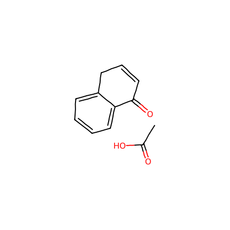 CC(=O)O.O=C1C=CCc2ccccc21